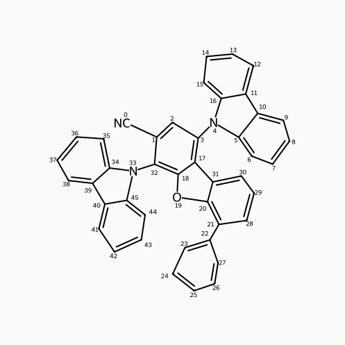 N#Cc1cc(-n2c3ccccc3c3ccccc32)c2c(oc3c(-c4ccccc4)cccc32)c1-n1c2ccccc2c2ccccc21